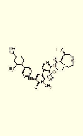 C=C1/C=C2/C(=O)N(c3nccc(-c4cc(Nc5ccc(N6CCN(C7COC7)C[C@@H]6C)cn5)c(=O)n(C)c4)c3C3(O)COC3)CCN2CCCCC1